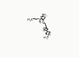 CCCCNc1nc(N)ncc1OCc1cc(-c2ccc(OC)cc2)no1